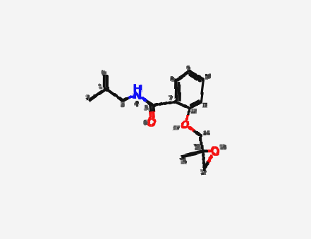 C=C(C)CNC(=O)c1ccccc1OCC1(C)CO1